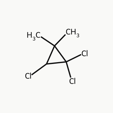 CC1(C)C(Cl)C1(Cl)Cl